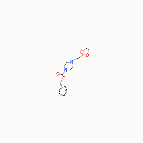 O=C(OCc1ccccc1)N1CCN(CCC2OCCO2)CC1